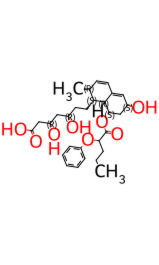 CCCC(Oc1ccccc1)C(=O)O[C@H]1C[C@H](O)C=C2C=C[C@H](C)[C@H](CC[C@@H](O)C[C@@H](O)CC(=O)O)[C@H]21